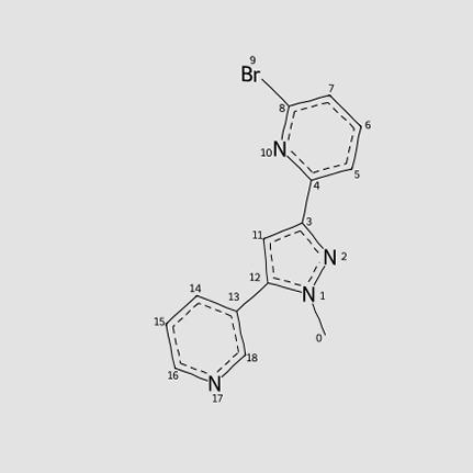 Cn1nc(-c2cccc(Br)n2)cc1-c1cccnc1